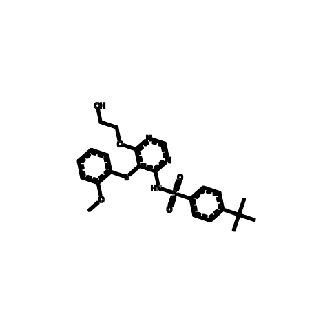 COc1ccccc1Sc1c(NS(=O)(=O)c2ccc(C(C)(C)C)cc2)ncnc1OCCO